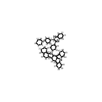 c1ccc(-c2ccc(-c3nc4ccccc4nc3-c3ccc(-n4c5c6ccccc6ccc5c5cc6c7ccccc7n7c8ccccc8c(c54)c67)cc3)cc2)cc1